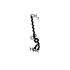 C#CCN(CC#C)Cc1ccc(C(=O)OCCCCCCCCCCCC)cc1